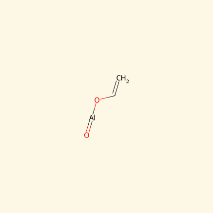 C=C[O][Al]=[O]